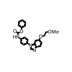 COCCOc1ccc2ncn(-c3ccc(NC(=O)Oc4ccccc4)cc3)c2c1